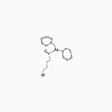 O=C(CCCCBr)N(Cc1ccccc1)c1ccccc1